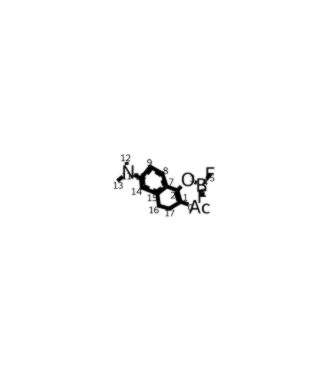 CC(=O)C1=C(OB(F)F)c2ccc(N(C)C)cc2CC1